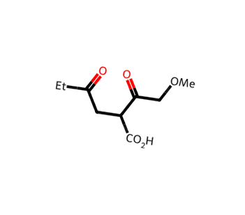 CCC(=O)CC(C(=O)O)C(=O)COC